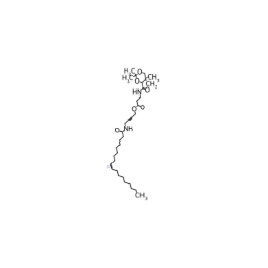 CCCCCCCC/C=C\CCCCCCCC(=O)NCC#CCOC(=O)CCNC(=O)C1OC(C)(C)OCC1(C)C